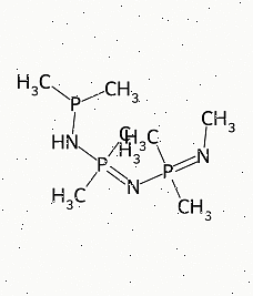 CN=P(C)(C)N=P(C)(C)NP(C)C